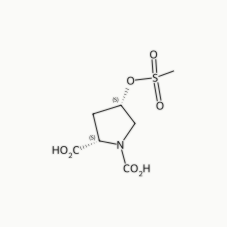 CS(=O)(=O)O[C@H]1C[C@@H](C(=O)O)N(C(=O)O)C1